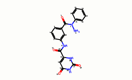 NN(C(=O)c1cccc(NC(=O)c2cc(=O)[nH]c(=O)[nH]2)c1)c1ccccc1